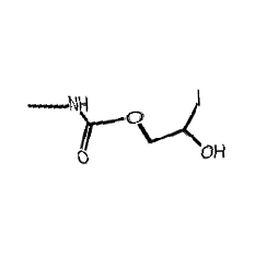 CNC(=O)OCC(O)I